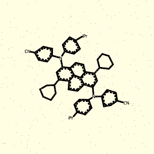 [C-]#[N+]c1ccc(N(c2ccc(C(C)C)cc2)c2cc(C3CCCCC3)c3ccc4c(N(c5ccc(C#N)cc5)c5ccc(C(C)C)cc5)cc(C5CCCCC5)c5ccc2c3c54)cc1